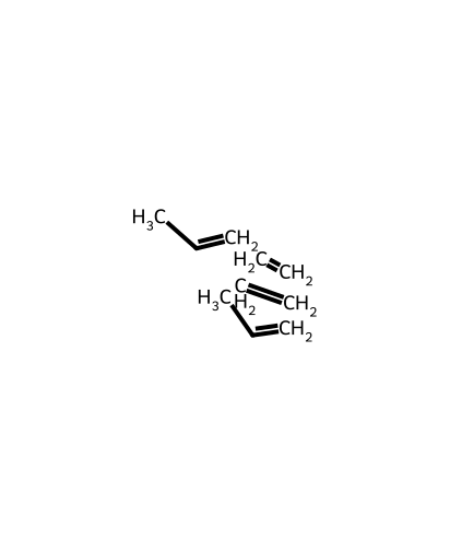 C=C.C=C.C=CC.C=CC